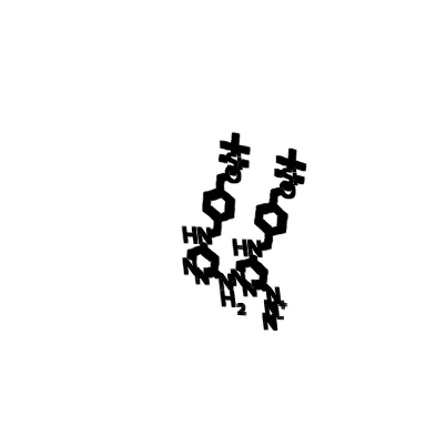 CC(C)(C)[Si](C)(C)OCc1ccc(CNc2cnnc(N)c2)cc1.CC(C)(C)[Si](C)(C)OCc1ccc(CNc2cnnc(N=[N+]=[N-])c2)cc1